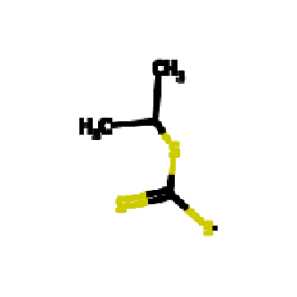 CC(C)SC([S])=S